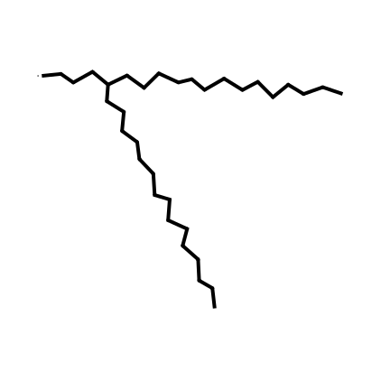 [CH2]CCCC(CCCCCCCCCCCCCC)CCCCCCCCCCCCCCC